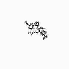 CCCc1c(Cc2ccnn2-c2cccc(C#N)n2)ncn2nc(C(F)F)nc12